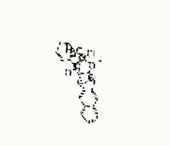 CC1(C)OC2C(O1)C1c3cc4ccccc4cc3C2C(Cl)C1S(=O)(=O)c1ccccc1